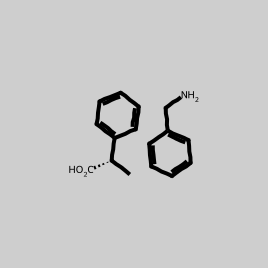 C[C@H](C(=O)O)c1ccccc1.NCc1ccccc1